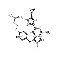 CN(C)CCOC1C=CC(Cn2c(=O)[nH]c3c(N)nc(-c4nc(C5CC5)c[nH]4)nc32)=CN1